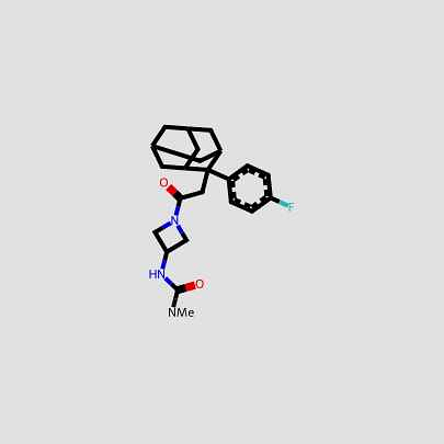 CNC(=O)NC1CN(C(=O)CC2(c3ccc(F)cc3)C3CC4CC(C3)CC2C4)C1